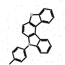 Ic1ccc(-n2c3ccccc3c3c4c(ccc32)oc2ccccc24)cc1